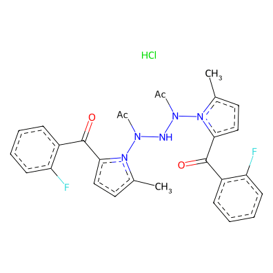 CC(=O)N(NN(C(C)=O)n1c(C)ccc1C(=O)c1ccccc1F)n1c(C)ccc1C(=O)c1ccccc1F.Cl